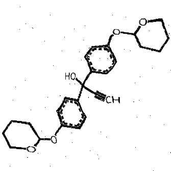 C#CC(O)(c1ccc(OC2CCCCO2)cc1)c1ccc(OC2CCCCO2)cc1